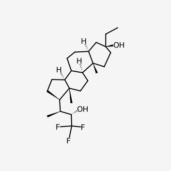 CC[C@]1(O)CC[C@@]2(C)[C@@H](CCC3[C@@H]2CC[C@]2(C)[C@@H]([C@H](C)[C@H](O)C(F)(F)F)CC[C@@H]32)C1